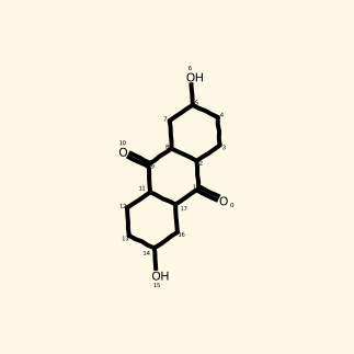 O=C1C2CCC(O)CC2C(=O)C2CCC(O)CC12